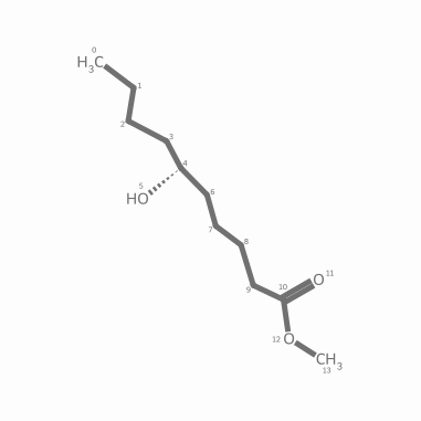 CCCC[C@@H](O)CCCCC(=O)OC